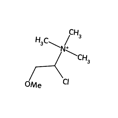 COCC(Cl)[N+](C)(C)C